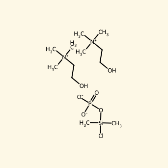 C[N+](C)(C)CCO.C[N+](C)(C)CCO.C[Si](C)(Cl)OP(=O)([O-])[O-]